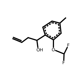 C=CCC(O)c1ccc(C)cc1OC(F)F